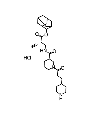 C#C[C@@H](CNC(=O)[C@@H]1CCCN(C(=O)CCC2CCNCC2)C1)C(=O)OC1C2CC3CC(C2)CC1C3.Cl